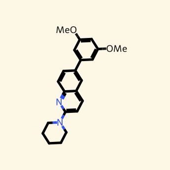 COc1cc(OC)cc(-c2ccc3nc(N4CCCCC4)ccc3c2)c1